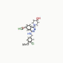 COc1ccc(CNc2nnc(N3CCC(O)CC3)c3ccc(Br)cc23)cc1Cl.Cl